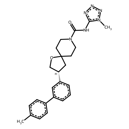 Cc1ccc(-c2cccc([C@@H]3COC4(CCN(C(=O)Nc5nnnn5C)CC4)C3)c2)cc1